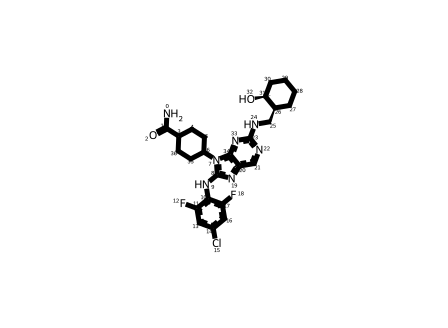 NC(=O)C1CCC(n2c(Nc3c(F)cc(Cl)cc3F)nc3cnc(NC[C@@H]4CCCC[C@@H]4O)nc32)CC1